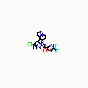 CC(O)(Cn1c2c(c3cc(Cl)cnc31)C1CCCN1CC2)c1ccc(C(F)(F)F)nc1